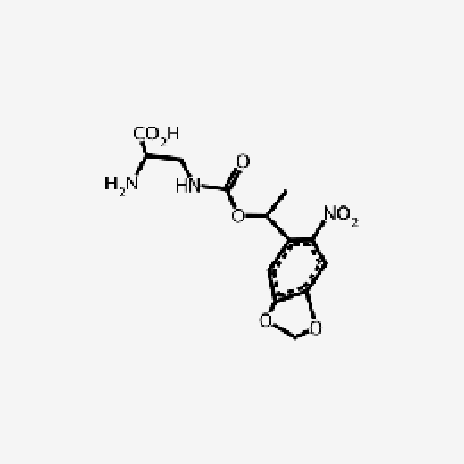 CC(OC(=O)NCC(N)C(=O)O)c1cc2c(cc1[N+](=O)[O-])OCO2